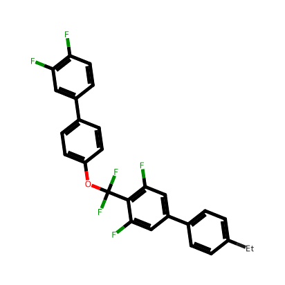 CCc1ccc(-c2cc(F)c(C(F)(F)Oc3ccc(-c4ccc(F)c(F)c4)cc3)c(F)c2)cc1